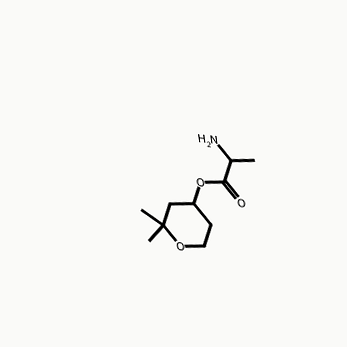 CC(N)C(=O)OC1CCOC(C)(C)C1